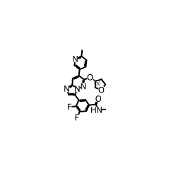 CNC(=O)c1cc(F)c(F)c(-c2cnc3cc(-c4ccc(C)nc4)c(O[C@H]4CCOC4)nn23)c1